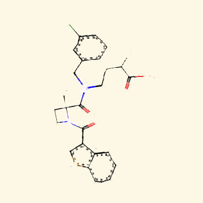 CC(CCN(Cc1cccc(Cl)c1)C(=O)[C@@]1(C)CCN1C(=O)c1csc2ccccc12)C(=O)O